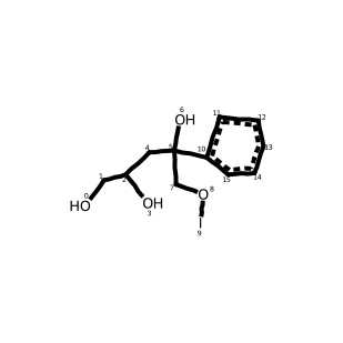 OCC(O)CC(O)(COI)c1ccccc1